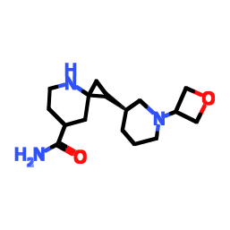 NC(=O)C1CCNC2(C1)CC2[C@@H]1CCCN(C2COC2)C1